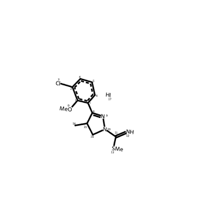 COc1c(Cl)cccc1C1=NN(C(=N)SC)CC1C.I